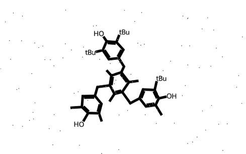 Cc1cc(Cc2c(C)c(Cc3cc(C)c(O)c(C(C)(C)C)c3)c(C)c(Cc3cc(C(C)(C)C)c(O)c(C(C)(C)C)c3)c2C)cc(C)c1O